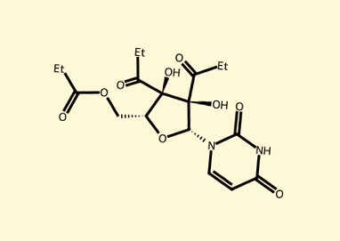 CCC(=O)OC[C@H]1O[C@@H](n2ccc(=O)[nH]c2=O)[C@@](O)(C(=O)CC)[C@@]1(O)C(=O)CC